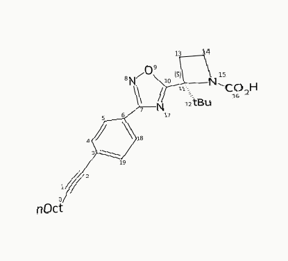 CCCCCCCCC#Cc1ccc(-c2noc([C@@]3(C(C)(C)C)CCN3C(=O)O)n2)cc1